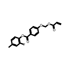 C=CC(=O)OCOc1ccc(C(=O)Oc2ccc(C)cc2F)cc1